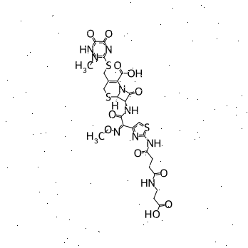 CO/N=C(\C(=O)N[C@@H]1C(=O)N2C(C(=O)O)=C(CSc3nc(=O)c(=O)[nH]n3C)CS[C@H]12)c1csc(NC(=O)CCC(=O)NCCC(=O)O)n1